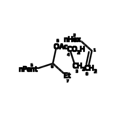 C=CCCCCCC.CC(=O)O.CCCCCC(CC)OC(C)=O